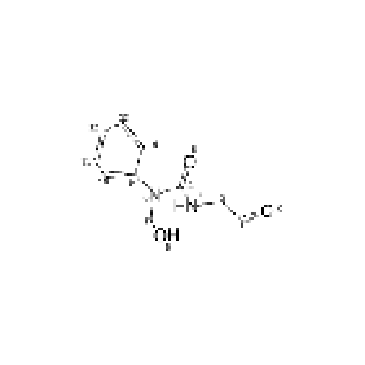 O=[C]CNC(=O)N(CO)c1ccccc1